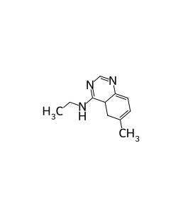 CCNC1=NC=NC2=CC=C(C)CC21